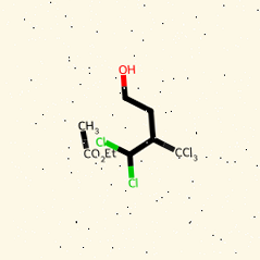 CCOC(C)=O.OCCC(C(Cl)Cl)C(Cl)(Cl)Cl